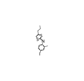 CCCc1csc(=Nc2ccc(I)cc2C)s1